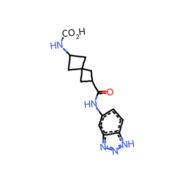 O=C(O)NC1CC2(C1)CC(C(=O)Nc1ccc3[nH]nnc3c1)C2